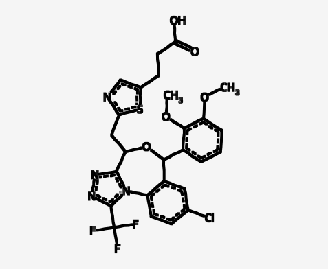 COc1cccc(C2OC(Cc3ncc(CCC(=O)O)s3)c3nnc(C(F)(F)F)n3-c3ccc(Cl)cc32)c1OC